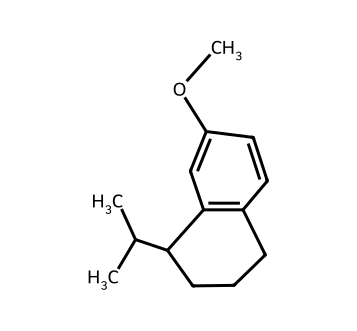 COc1ccc2c(c1)C(C(C)C)CCC2